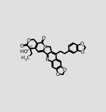 CC[C@@]1(O)C(=O)OCc2c1cc1n(c2=O)Cc2c-1nc1cc3c(cc1c2CCc1ccc2c(c1)OCO2)OCO3